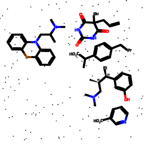 C=CCC1(C(C)CC)C(=O)NC(=O)NC1=O.CC(C)Cc1ccc(C(C)C(=O)O)cc1.CC(CN1c2ccccc2Sc2ccccc21)N(C)C.CC[C@@H](c1cccc(O)c1)[C@@H](C)CN(C)C.O=C(O)c1cccnc1